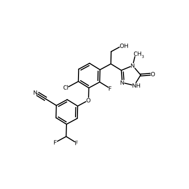 Cn1c(C(CO)c2ccc(Cl)c(Oc3cc(C#N)cc(C(F)F)c3)c2F)n[nH]c1=O